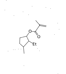 C=C(C)C(=O)OC1CCC(C)C1CC